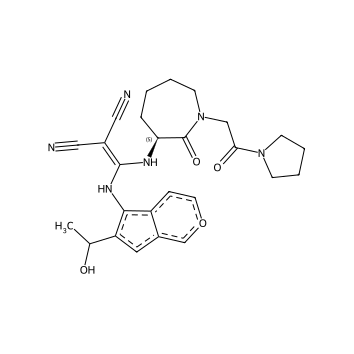 CC(O)c1cc2coccc-2c1NC(N[C@H]1CCCCN(CC(=O)N2CCCC2)C1=O)=C(C#N)C#N